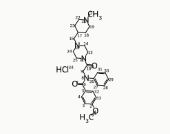 COc1ccc(C(=O)N(CC(=O)N2CCN(CC3CCN(C)CC3)CC2)c2ccccc2)cc1.Cl